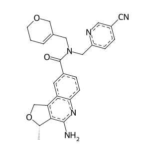 C[C@@H]1OCc2c1c(N)nc1ccc(C(=O)N(CC3=CCCOC3)Cc3ccc(C#N)cn3)cc21